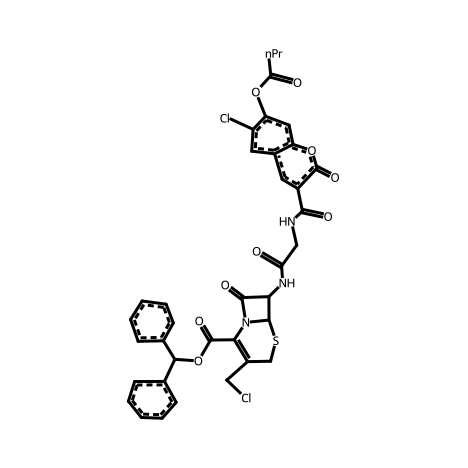 CCCC(=O)Oc1cc2oc(=O)c(C(=O)NCC(=O)NC3C(=O)N4C(C(=O)OC(c5ccccc5)c5ccccc5)=C(CCl)CSC34)cc2cc1Cl